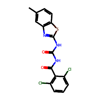 Cc1ccc2sc(NC(=O)NC(=O)c3c(Cl)cccc3Cl)nc2c1